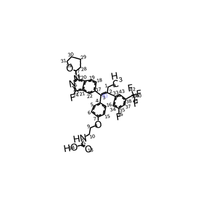 CC/C(=C(/c1ccc(OCCNC(=O)O)cc1)c1ccc2c(c1)c(F)nn2C1CCCCO1)c1cc(F)cc(C(F)(F)F)c1